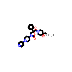 O=C(O)CC1(O)CCN(C(=O)C2(c3ccccc3)CN(C3CCN(c4ccncc4)CC3)C(=O)O2)CC1